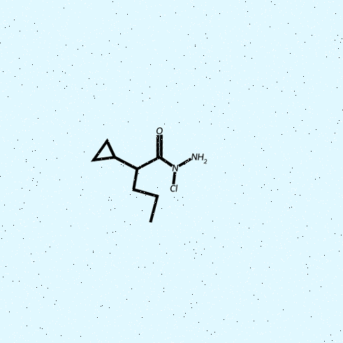 CCCC(C(=O)N(N)Cl)C1CC1